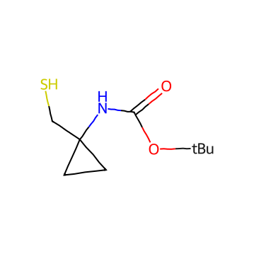 CC(C)(C)OC(=O)NC1(CS)CC1